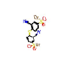 N#Cc1cc(S(=O)(=O)Br)ccc1Sc1ccc(S(=O)(=O)Br)cc1C#N